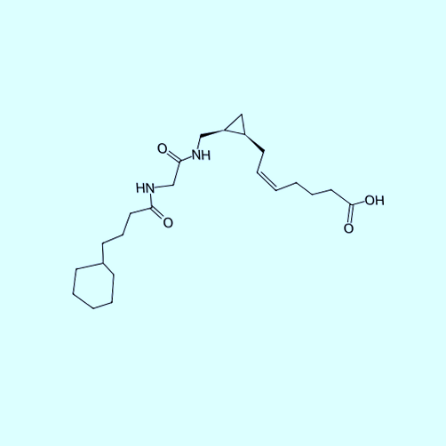 O=C(O)CCC/C=C\C[C@@H]1C[C@@H]1CNC(=O)CNC(=O)CCCC1CCCCC1